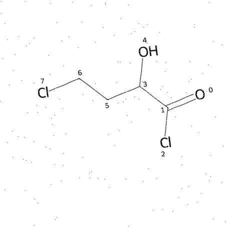 O=C(Cl)C(O)CCCl